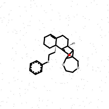 C1=C2CC[C@@H]3C(=CC[C@]45COCCOC4CC[C@@H]35)[C@@]2(CCSc2ccccc2)CCC1